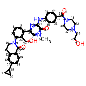 Cn1cc(-c2cccc(N3CCc4cc(C5CC5)ccc4C3=O)c2CO)nc(Nc2ccc(C(=O)N3CCN(CCO)CC3)cc2)c1=O